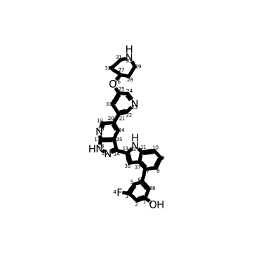 Oc1cc(F)cc(-c2cccc3[nH]c(-c4n[nH]c5ncc(-c6cncc(OC7CCNCC7)c6)cc45)cc23)c1